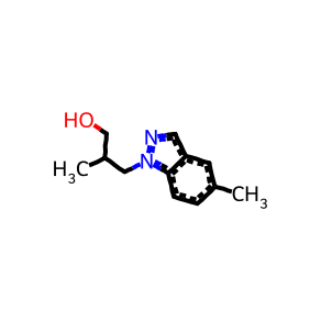 Cc1ccc2c(cnn2CC(C)CO)c1